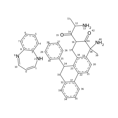 C1=CNc2ccccc2N=C1.CC(N)C(=O)C1Cc2c(ccc3c2C(c2ccccc2)Cc2ccccc2-3)C(C)(N)C1=O